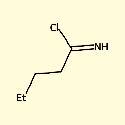 CCCCC(=N)Cl